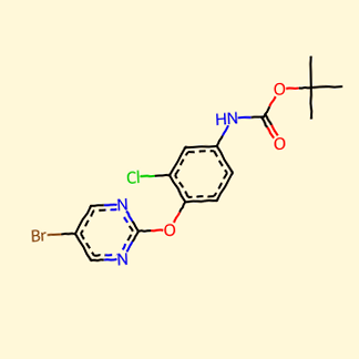 CC(C)(C)OC(=O)Nc1ccc(Oc2ncc(Br)cn2)c(Cl)c1